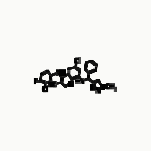 Cn1cc(C(Nc2cc(Cl)cc3c(Nc4ccc(F)c(Cl)c4)c(C#N)cnc23)c2ccccc2)nn1